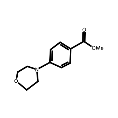 COC(=O)c1ccc(N2CCOCC2)cc1